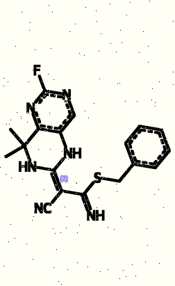 CC1(C)N/C(=C(\C#N)C(=N)SCc2ccccc2)Nc2cnc(F)nc21